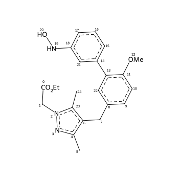 CCOC(=O)Cn1nc(C)c(Cc2ccc(OC)c(-c3cccc(NO)c3)c2)c1C